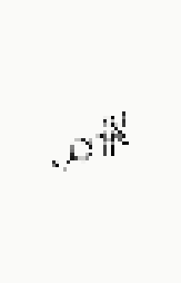 C=CS(=O)(=O)NCc1ccc(C(C)=O)cc1